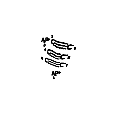 [Al+3].[Al+3].[C-]#[C-].[C-]#[C-].[C-]#[C-]